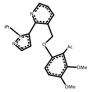 COc1ccc(OCc2cccnc2-c2ccnn2C(C)C)c(C(C)=O)c1OC